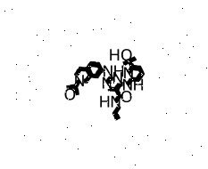 C=CCNC(=O)c1cnc(Nc2ccc3c(c2)CN(C2COC2)CC3)nc1Nc1cccc(C(C)(C)O)n1